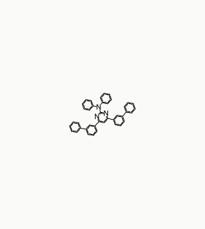 c1ccc(-c2cccc(-c3cc(-c4cccc(-c5ccccc5)c4)nc(N(c4ccccc4)c4ccccc4)n3)c2)cc1